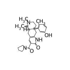 Cc1ccc(O)cc1[C@]12CCN(C)[C@H](C)[C@@H]1Cc1cc(C(=O)N3CCCC3)c(=O)[nH]c1C2